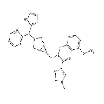 Cn1cnc(C(=O)N(Cc2cccc(OC(F)(F)F)c2)CC2C3CN(C(c4ncccn4)c4ccc[nH]4)CC23)c1